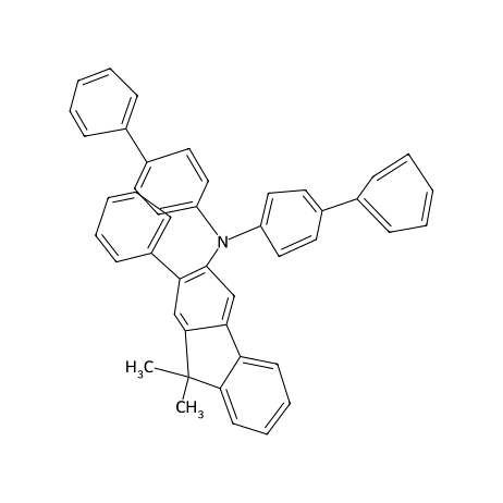 CC1(C)c2ccccc2-c2cc(N(c3ccc(-c4ccccc4)cc3)c3ccc(-c4ccccc4)cc3)c(-c3ccccc3)cc21